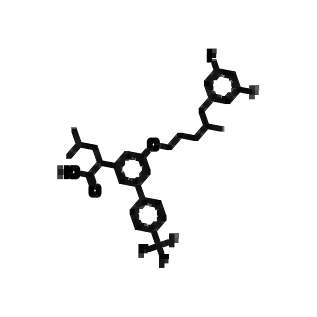 CC(C)CC(C(=O)O)c1cc(OCCCC(C)Cc2cc(F)cc(F)c2)cc(-c2ccc(C(F)(F)F)cc2)c1